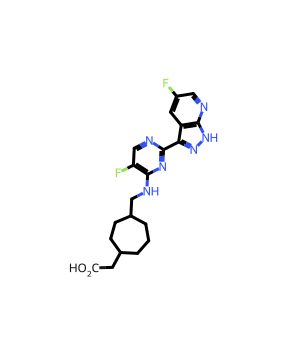 O=C(O)CC1CCCC(CNc2nc(-c3n[nH]c4ncc(F)cc34)ncc2F)CC1